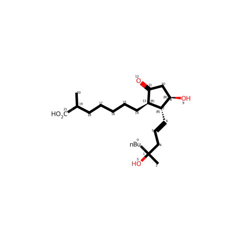 CCCCC(C)(O)CC=C[C@H]1[C@H](O)CC(=O)[C@@H]1CCCCCC(C)C(=O)O